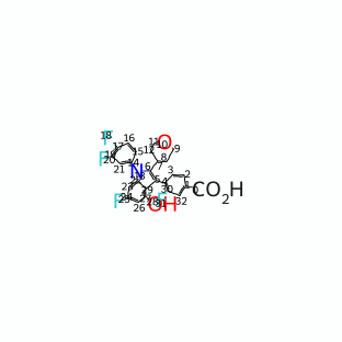 O=C(O)c1ccc(-c2c(C3CCOCC3)n(-c3ccc(F)c(F)c3)c3cc(F)cc(O)c23)c(F)c1